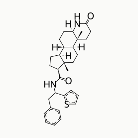 C[C@]12CCC(=O)N[C@@H]1CC[C@@H]1[C@@H]2CC[C@]2(C)[C@@H](C(=O)NC(Cc3ccccc3)c3cccs3)CC[C@@H]12